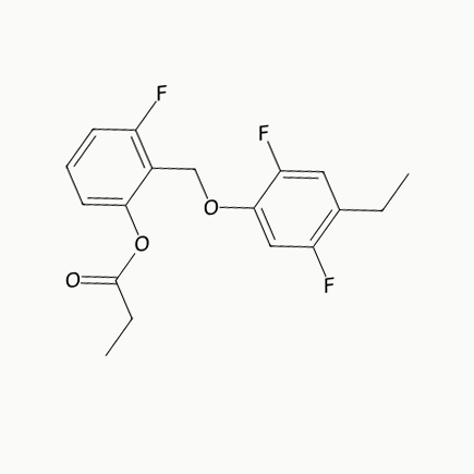 CCC(=O)Oc1cccc(F)c1COc1cc(F)c(CC)cc1F